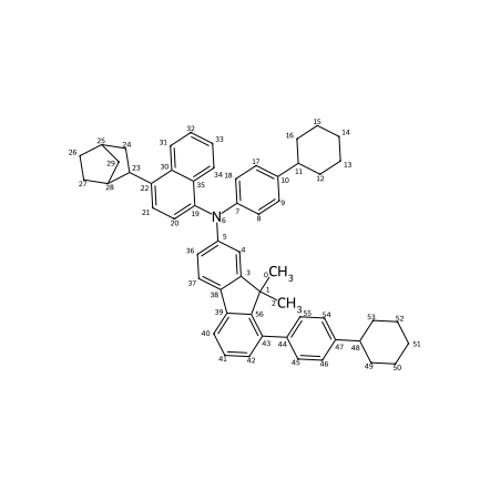 CC1(C)c2cc(N(c3ccc(C4CCCCC4)cc3)c3ccc(C4CC5CCC4C5)c4ccccc34)ccc2-c2cccc(-c3ccc(C4CCCCC4)cc3)c21